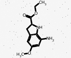 CCOC(=O)C1Cc2cc(OC)cc(N)c2N1